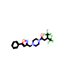 O=C(CC(C(F)(F)F)C(F)(F)F)N1CCN(Cc2cc(-c3ccccc3)on2)CC1